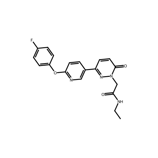 CCNC(=O)Cn1nc(-c2ccc(Oc3ccc(F)cc3)nc2)ccc1=O